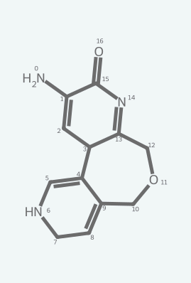 NC1=CC2C3=CNCC=C3COCC2=NC1=O